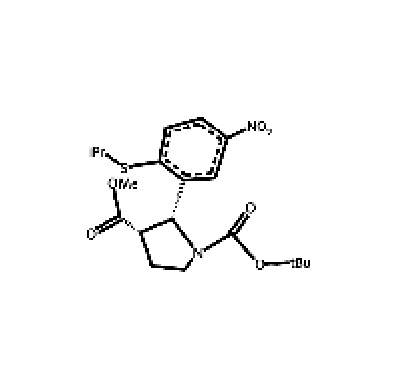 COC(=O)[C@H]1CCN(C(=O)OC(C)(C)C)[C@H]1c1cc([N+](=O)[O-])ccc1SC(C)C